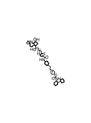 O=C(Nc1ccccc1-c1ccccc1)OC1CCN(CCc2ccc(NC(=O)c3ccc(CNC[C@@H](O)c4ccc(O)c5[nH]c(=O)ccc45)s3)cc2)CC1